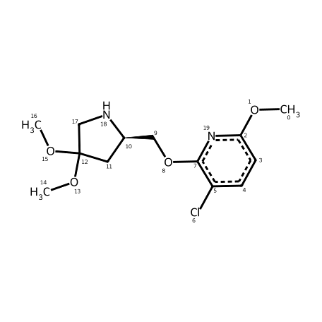 COc1ccc(Cl)c(OC[C@H]2CC(OC)(OC)CN2)n1